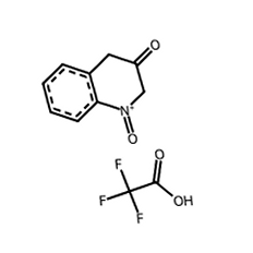 O=C(O)C(F)(F)F.O=C1Cc2ccccc2[N+](=O)C1